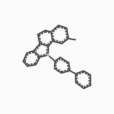 Cc1ccc2ccc3c4ccccc4n(-c4ccc(-c5ccccc5)cc4)c3c2c1